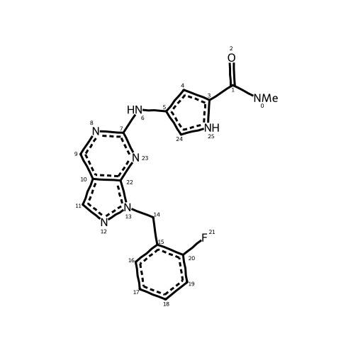 CNC(=O)c1cc(Nc2ncc3cnn(Cc4ccccc4F)c3n2)c[nH]1